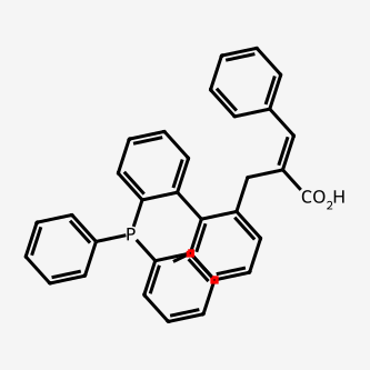 Cc1cccc(C/C(=C\c2ccccc2)C(=O)O)c1-c1ccccc1P(c1ccccc1)c1ccccc1